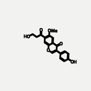 COc1cc2c(=O)c(-c3ccc(O)cc3)coc2cc1C(=O)CCO